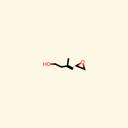 C1CO1.C=C(C)CCO